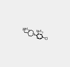 NCC1CCN(c2ccc(Cl)cc2N)CC1